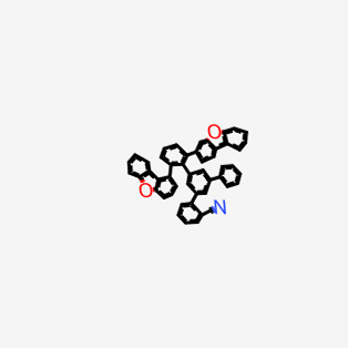 N#Cc1ccccc1-c1cc(-c2ccccc2)cc(-c2c(-c3ccc4c(c3)oc3ccccc34)cccc2-c2cccc3oc4ccccc4c23)c1